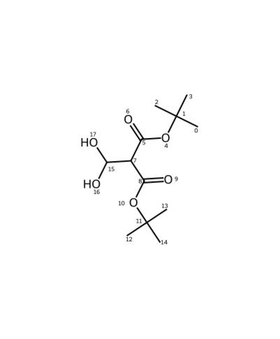 CC(C)(C)OC(=O)C(C(=O)OC(C)(C)C)C(O)O